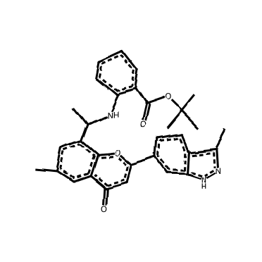 Cc1cc(C(C)Nc2ccccc2C(=O)OC(C)(C)C)c2oc(-c3ccc4c(C)n[nH]c4c3)cc(=O)c2c1